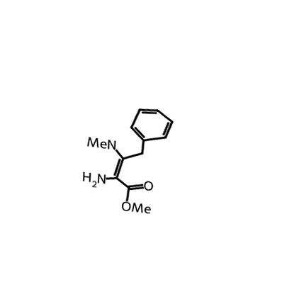 CN/C(Cc1ccccc1)=C(\N)C(=O)OC